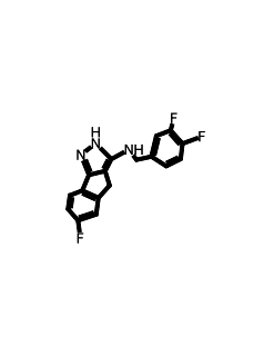 Fc1ccc2c(c1)Cc1c-2n[nH]c1NCc1ccc(F)c(F)c1